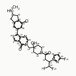 CNC1Cc2cc(-c3scc4c(=O)n(CC5(O)CCN(C(=O)CC(C(F)F)n6ccc(F)n6)CC5)cnc34)cc(Cl)c2C1